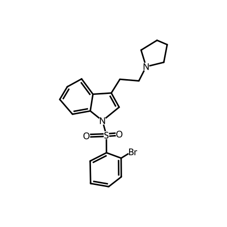 O=S(=O)(c1ccccc1Br)n1cc(CCN2CCCC2)c2ccccc21